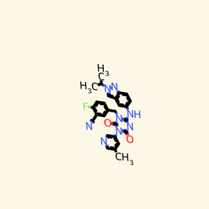 Cc1cncc(-n2c(=O)nc(Nc3ccc4nn(C(C)C)cc4c3)n(Cc3ccc(F)c(C#N)c3)c2=O)c1